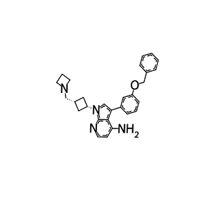 Nc1ccnc2c1c(-c1cccc(OCc3ccccc3)c1)cn2[C@H]1C[C@@H](CN2CCC2)C1